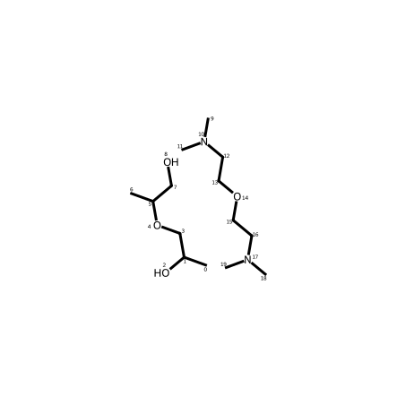 CC(O)COC(C)CO.CN(C)CCOCCN(C)C